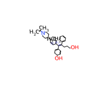 C=C(\C=C/C(=C\C)C(/C1=CCC(O)C=C1)=C(/CCCO)c1ccccc1)C1CCN(C(=C)C)CC1